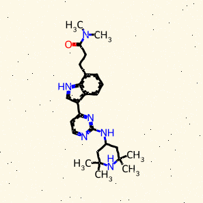 CN(C)C(=O)CCc1cccc2c(-c3ccnc(NC4CC(C)(C)NC(C)(C)C4)n3)c[nH]c12